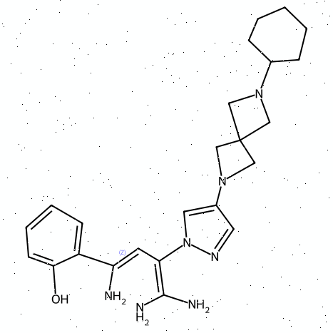 NC(N)=C(/C=C(\N)c1ccccc1O)n1cc(N2CC3(C2)CN(C2CCCCC2)C3)cn1